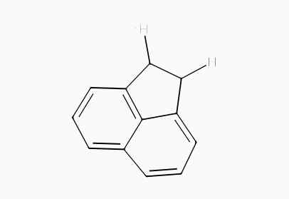 [2H]C1c2cccc3cccc(c23)C1[2H]